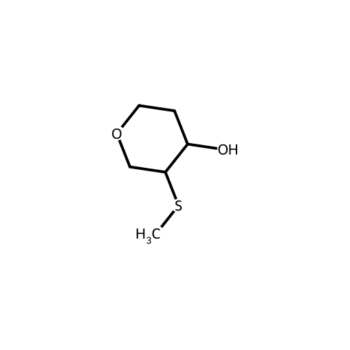 CSC1COCCC1O